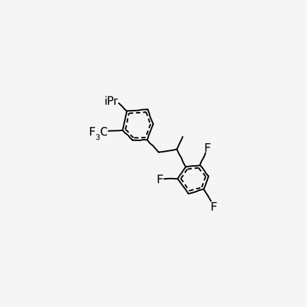 CC(C)c1ccc(CC(C)c2c(F)cc(F)cc2F)cc1C(F)(F)F